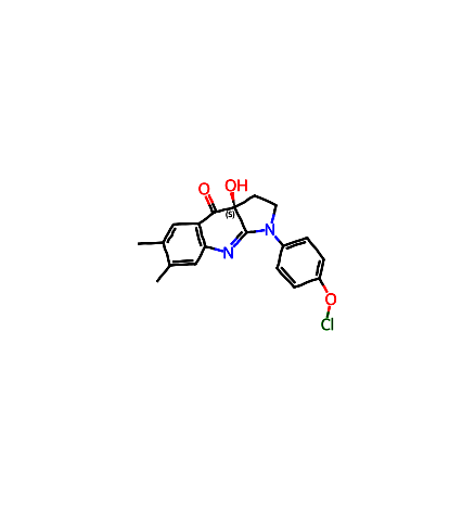 Cc1cc2c(cc1C)C(=O)[C@]1(O)CCN(c3ccc(OCl)cc3)C1=N2